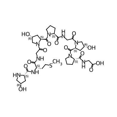 CSCC[C@H](NC(=O)[C@@H]1C[C@@H](O)CN1)C(=O)NCC(=O)N1C[C@H](O)C[C@H]1C(=O)N1CCC[C@H]1C(=O)NCC(=O)N1C[C@H](O)C[C@H]1C(=O)N1CCC[C@H]1C(=O)NCC(=O)O